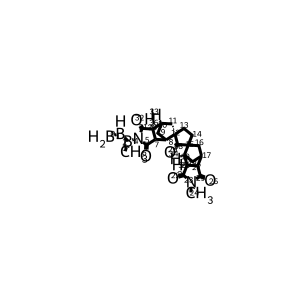 BBB(C)N1C(=O)C2C3C[C@@H](C[C@@]34CCC3(CC5C[C@@H]3[C@@H]3C(=O)N(C)C(=O)C53)C4=O)[C@@H]2C1=O